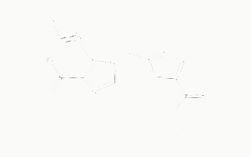 COC(=O)c1ccc(Cn2cnc3c(=O)[nH]c(N)nc32)o1